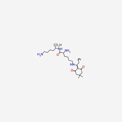 CC(C)CC(NCCCC[C@H](N)C(=O)N[C@@H](CCCCN)C(=O)O)=C1C(=O)CC(C)(C)CC1=O